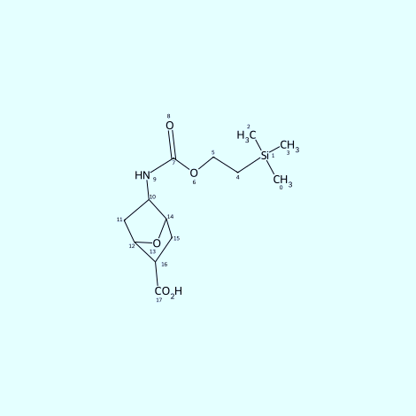 C[Si](C)(C)CCOC(=O)NC1CC2OC1CC2C(=O)O